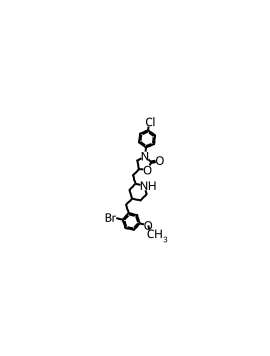 COc1ccc(Br)c(CC2CCNC(CC3CN(c4ccc(Cl)cc4)C(=O)O3)C2)c1